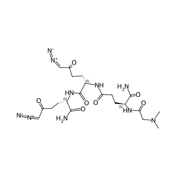 CN(C)CC(=O)N[C@@H](CCC(=O)N[C@@H](CCC(=O)C=[N+]=[N-])C(=O)N[C@@H](CCC(=O)C=[N+]=[N-])C(N)=O)C(N)=O